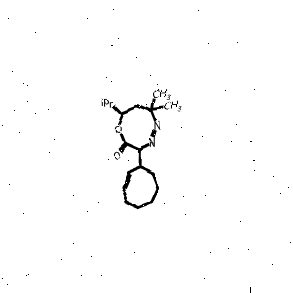 CC(C)C1CC(C)(C)N=NC(C2C=CCCCCC2)C(=O)O1